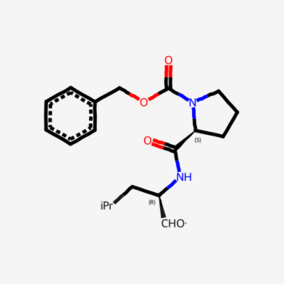 CC(C)C[C@H]([C]=O)NC(=O)[C@@H]1CCCN1C(=O)OCc1ccccc1